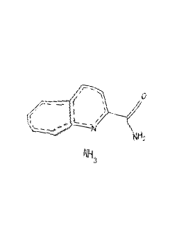 N.NC(=O)c1ccc2ccccc2n1